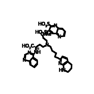 COCCN(CCCCc1ccc2c(n1)NCCC2)CC[C@H](Nc1ncnc2ccccc12)C(=O)O.O=S(=O)(O)c1cc2ncccc2nc1S(=O)(=O)O